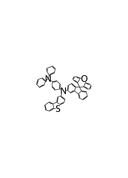 c1ccc(N(c2ccccc2)c2ccc(N(c3ccc4c(c3)-c3ccccc3C43c4ccccc4Oc4ccccc43)c3ccc4sc5ccccc5c4c3)cc2)cc1